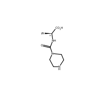 CC(C)[C@H](NC(=O)N1CCNCC1)C(=O)O